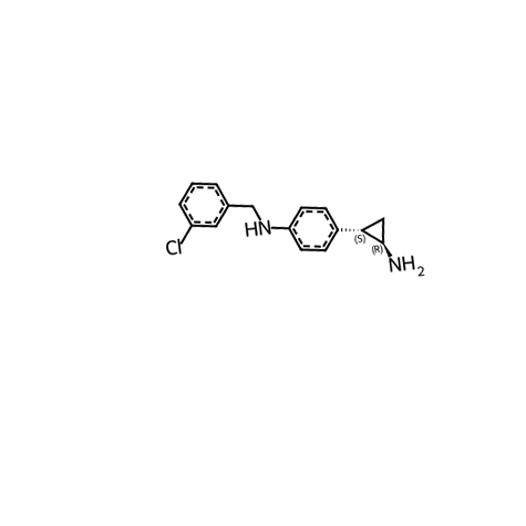 N[C@@H]1C[C@H]1c1ccc(NCc2cccc(Cl)c2)cc1